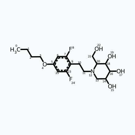 CCCCOc1cc(F)c(CCN2CC(O)C(O)C(O)C2CO)c(F)c1